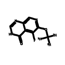 [2H]C([2H])([2H])Oc1ncc2nc[nH]c(=O)c2c1F